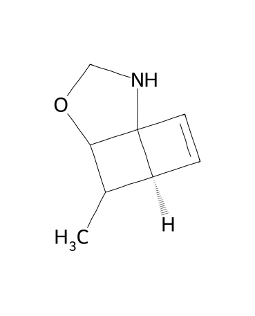 CC1C2OCNC23C=C[C@@H]13